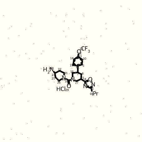 CC(C)c1noc(C2CC(c3ccc(OC(F)(F)F)cc3)CN(C(=O)N3CCC(N)CC3)C2)n1.Cl